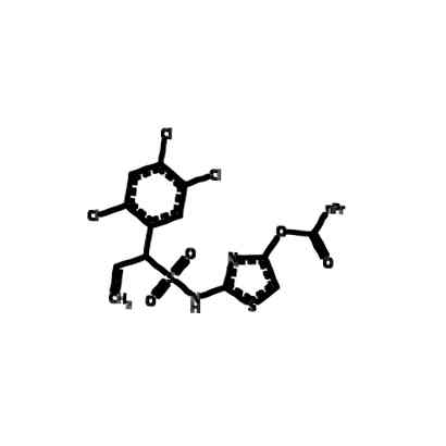 C=CC(c1cc(Cl)c(Cl)cc1Cl)S(=O)(=O)Nc1nc(OC(=O)CCC)cs1